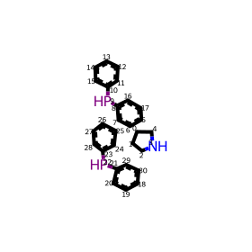 C1CCNC1.c1ccc(Pc2ccccc2)cc1.c1ccc(Pc2ccccc2)cc1